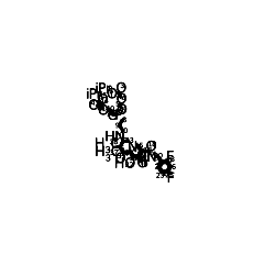 CC(C)OC(=O)OCOP(CCCNC1Cn2cc(C(=O)NCc3ccc(F)cc3F)c(=O)c(O)c2C(=O)C1(C)C)OCOC(=O)OC(C)C